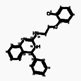 Clc1ccccc1OCCNC1=Nc2ccccc2C(c2ccccc2)N1